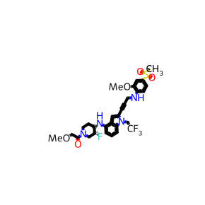 COCC(=O)N1CC[C@H](Nc2cccc3c2cc(C#CCNc2ccc(S(C)(=O)=O)cc2OC)n3CC(F)(F)F)[C@H](F)C1